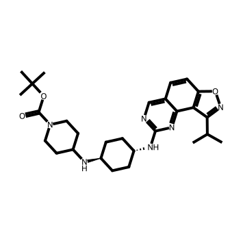 CC(C)c1noc2ccc3cnc(N[C@H]4CC[C@H](NC5CCN(C(=O)OC(C)(C)C)CC5)CC4)nc3c12